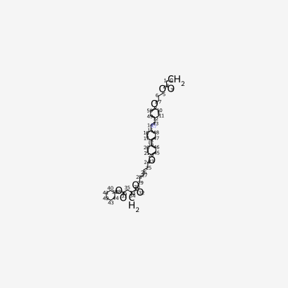 C=CC(=O)OCCCOc1ccc(/C=C/c2ccc(-c3ccc(OCCCCCCOC(=O)C(=C)CC(=O)OC4CCCCC4)cc3)cc2)cc1